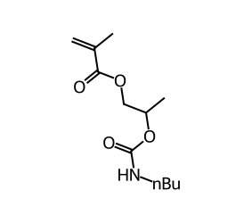 C=C(C)C(=O)OCC(C)OC(=O)NCCCC